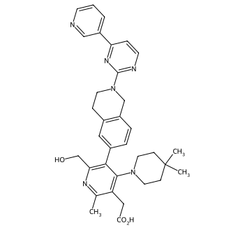 Cc1nc(CO)c(-c2ccc3c(c2)CCN(c2nccc(-c4cccnc4)n2)C3)c(N2CCC(C)(C)CC2)c1CC(=O)O